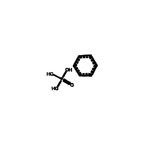 O=P(O)(O)O.c1ccccc1